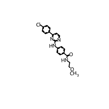 COCCNC(=O)c1ccc(Nc2nccc(-c3ccc(Cl)cc3)n2)cc1